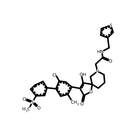 Cc1cc(-c2cccc(S(C)(=O)=O)c2)c(Cl)cc1C1=C(O)C2(CCCN(CC(=O)NCc3ccsc3)C2)OC1=O